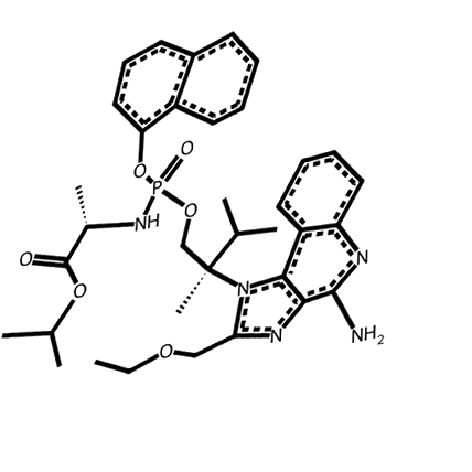 CCOCc1nc2c(N)nc3ccccc3c2n1[C@@](C)(COP(=O)(N[C@@H](C)C(=O)OC(C)C)Oc1cccc2ccccc12)C(C)C